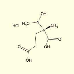 CN(O)[C@@](C)(CCC(=O)O)C(=O)O.Cl